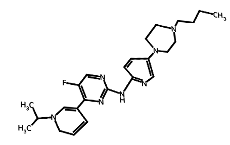 CCCCN1CCN(c2ccc(Nc3ncc(F)c(C4=CN(C(C)C)CC=C4)n3)nc2)CC1